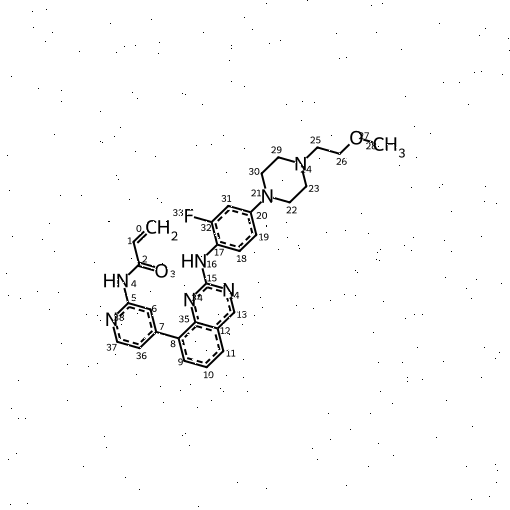 C=CC(=O)Nc1cc(-c2cccc3cnc(Nc4ccc(N5CCN(CCOC)CC5)cc4F)nc23)ccn1